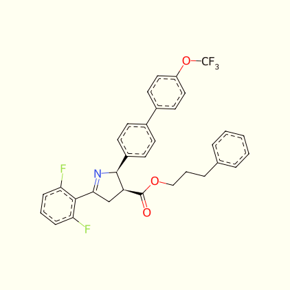 O=C(OCCCc1ccccc1)[C@H]1CC(c2c(F)cccc2F)=N[C@H]1c1ccc(-c2ccc(OC(F)(F)F)cc2)cc1